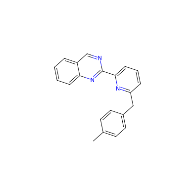 Cc1ccc(Cc2cccc(-c3ncc4ccccc4n3)n2)cc1